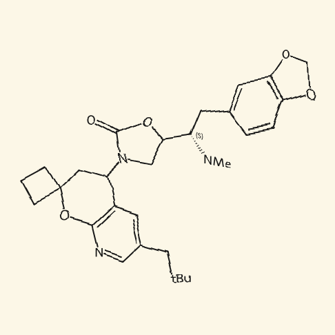 CN[C@@H](Cc1ccc2c(c1)OCO2)C1CN(C2CC3(CCC3)Oc3ncc(CC(C)(C)C)cc32)C(=O)O1